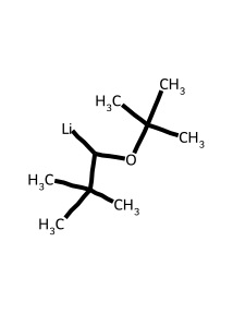 [Li][CH](OC(C)(C)C)C(C)(C)C